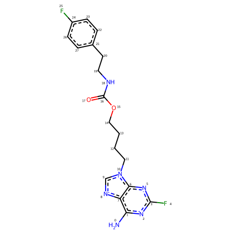 Nc1nc(F)nc2c1ncn2CCCCOC(=O)NCCc1ccc(F)cc1